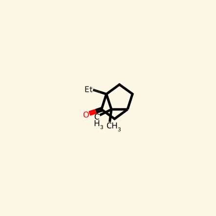 [CH2]CC12CCC(CC1=O)C2(C)C